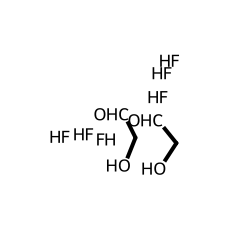 F.F.F.F.F.F.O=CCO.O=CCO